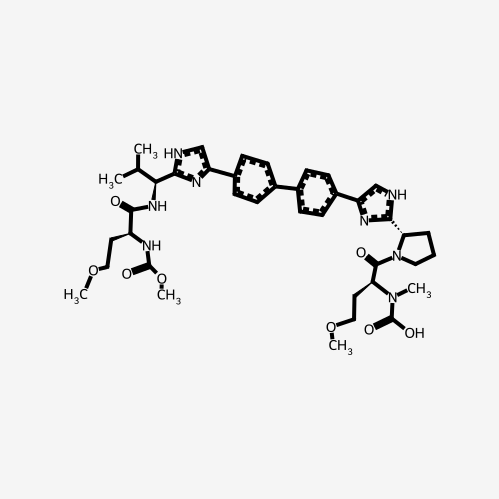 COCC[C@H](NC(=O)OC)C(=O)N[C@H](c1nc(-c2ccc(-c3ccc(-c4c[nH]c([C@@H]5CCCN5C(=O)[C@H](CCOC)N(C)C(=O)O)n4)cc3)cc2)c[nH]1)C(C)C